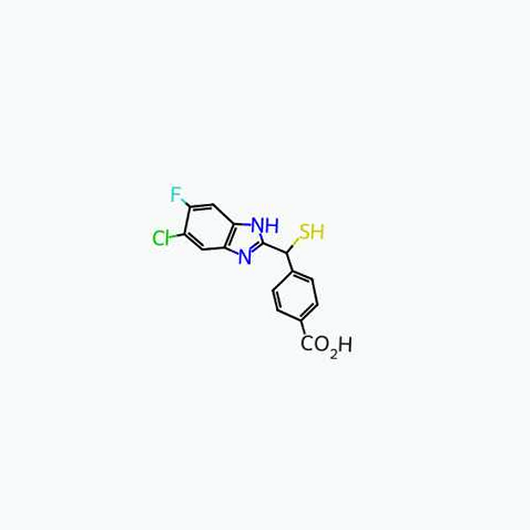 O=C(O)c1ccc(C(S)c2nc3cc(Cl)c(F)cc3[nH]2)cc1